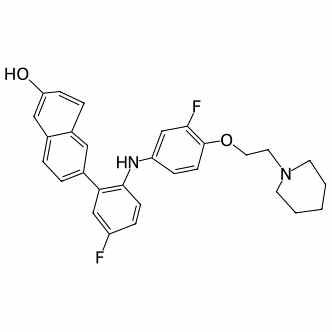 Oc1ccc2cc(-c3cc(F)ccc3Nc3ccc(OCCN4CCCCC4)c(F)c3)ccc2c1